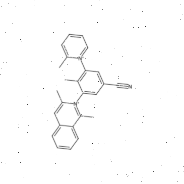 Cc1c(-[n+]2ccccc2C)cc(C#N)cc1-[n+]1c(C)cc2ccccc2c1C